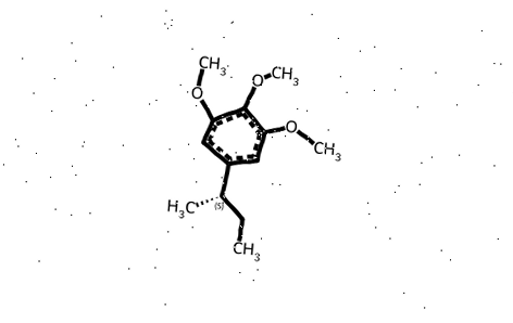 CC[C@H](C)c1cc(OC)c(OC)c(OC)c1